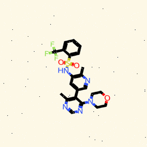 Cc1ncc(-c2c(C)ncnc2N2CCOCC2)cc1NS(=O)(=O)c1ccccc1C(F)(F)F